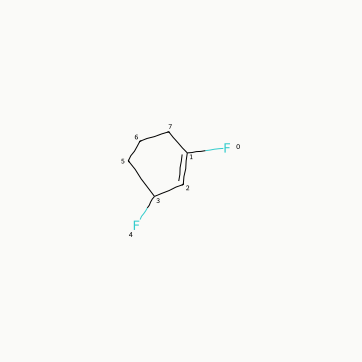 FC1=CC(F)CCC1